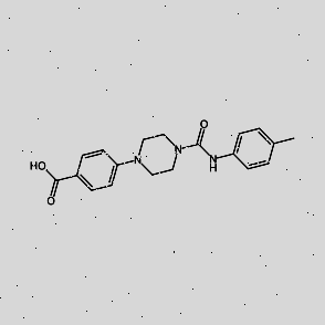 Cc1ccc(NC(=O)N2CCN(c3ccc(C(=O)O)cc3)CC2)cc1